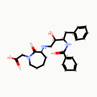 O=C(O)CN1CCCC[C@H](NCC(O)C(Cc2ccccc2)NC(=O)c2ccccc2)C1=O